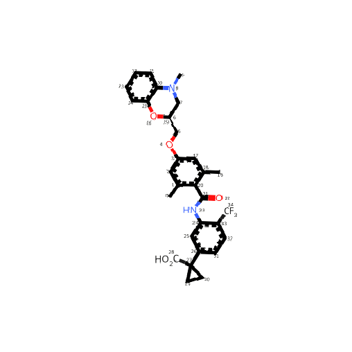 Cc1cc(OC[C@@H]2CN(C)c3ccccc3O2)cc(C)c1C(=O)Nc1cc(C2(C(=O)O)CC2)ccc1C(F)(F)F